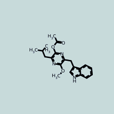 COc1nc(CC(C)C)c(OC(C)=O)nc1Cc1c[nH]c2ccccc12